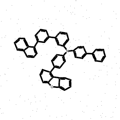 c1ccc(-c2ccc(N(c3ccc(-c4cccc5oc6ccccc6c45)cc3)c3cccc(-c4cccc(-c5cccc6ccccc56)c4)c3)cc2)cc1